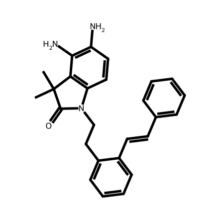 CC1(C)C(=O)N(CCc2ccccc2C=Cc2ccccc2)c2ccc(N)c(N)c21